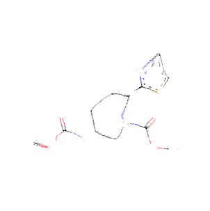 CC(C)OC(=O)N[C@@H]1CC[C@@H](c2nccs2)N(C(=O)OC(C)(C)C)C1